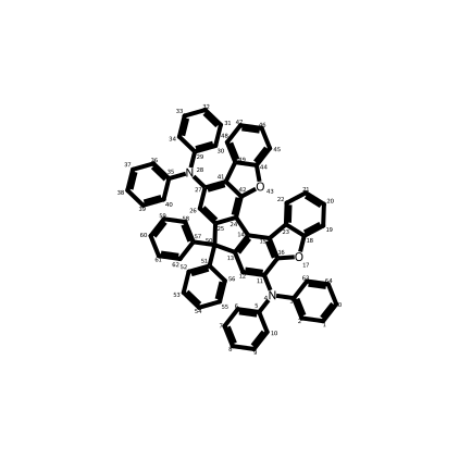 c1ccc(N(c2ccccc2)c2cc3c(c4c2oc2ccccc24)-c2c(cc(N(c4ccccc4)c4ccccc4)c4c2oc2ccccc24)C3(c2ccccc2)c2ccccc2)cc1